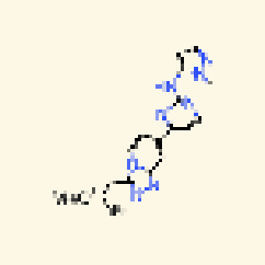 CO[C@H](Cc1nnc2cc(-c3ccnc(Nc4ccnn4C)n3)ccn12)C(C)C